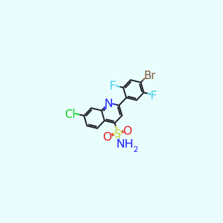 NS(=O)(=O)c1cc(-c2cc(F)c(Br)cc2F)nc2cc(Cl)ccc12